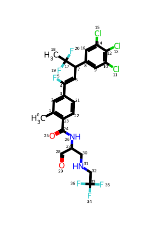 Cc1cc(/C(F)=C/C(c2cc(Cl)c(Cl)c(Cl)c2)C(C)(F)F)ccc1C(=O)NC(C=O)CNCC(F)(F)F